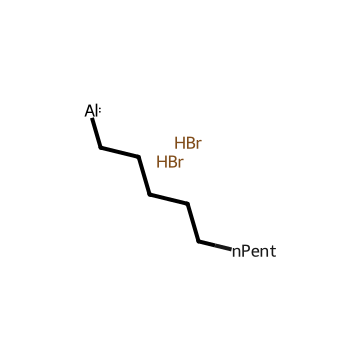 Br.Br.CCCCCCCCC[CH2][Al]